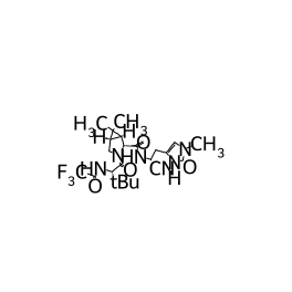 Cn1cc(CC(C#N)NC(=O)[C@@H]2[C@H]3[C@H](CN2C(=O)[C@@H](NC(=O)C(F)(F)F)C(C)(C)C)C3(C)C)[nH]c1=O